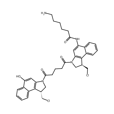 NCCCCCC(=O)Nc1cc2c(c3ccccc13)[C@@H](CCl)CN2C(=O)CCCC(=O)N1C[C@H](CCl)c2c1cc(O)c1ccccc21